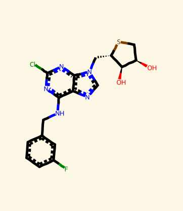 O[C@@H]1[C@H](O)CS[C@H]1Cn1cnc2c(NCc3cccc(F)c3)nc(Cl)nc21